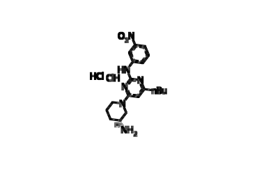 CCCCc1cc(N2CCC[C@@H](N)C2)nc(Nc2cccc([N+](=O)[O-])c2)n1.Cl.Cl